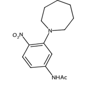 CC(=O)Nc1ccc([N+](=O)[O-])c(N2CCCCCC2)c1